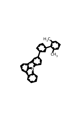 Cc1cccc(C)c1-c1cccc(-c2ccc3c(c2)c2cccc4c5ccccc5n3c42)c1